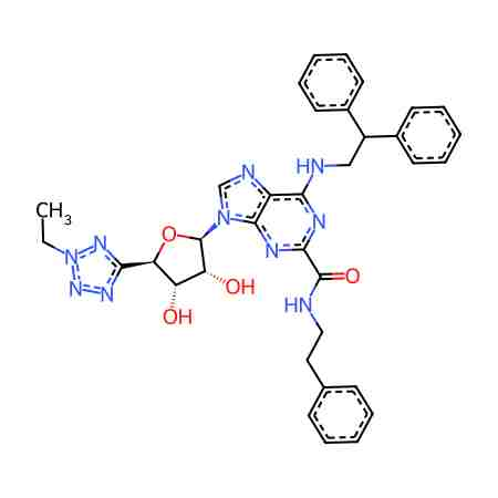 CCn1nnc([C@H]2O[C@@H](n3cnc4c(NCC(c5ccccc5)c5ccccc5)nc(C(=O)NCCc5ccccc5)nc43)[C@H](O)[C@@H]2O)n1